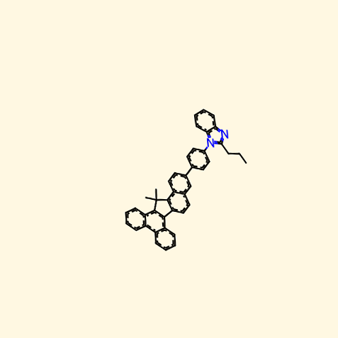 CCCc1nc2ccccc2n1-c1ccc(-c2ccc3c4c(ccc3c2)-c2c(c3ccccc3c3ccccc23)C4(C)C)cc1